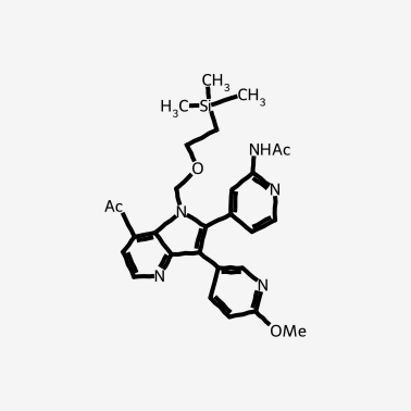 COc1ccc(-c2c(-c3ccnc(NC(C)=O)c3)n(COCC[Si](C)(C)C)c3c(C(C)=O)ccnc23)cn1